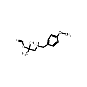 COc1ccc(CNCC(C)(C)O[C]=O)cc1